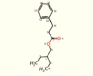 CCC(CC)COC(=O)CCc1ccccc1